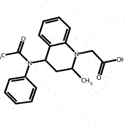 CC(=O)N(c1ccccc1)C1CC(C)N(CC(=O)O)c2ccccc21